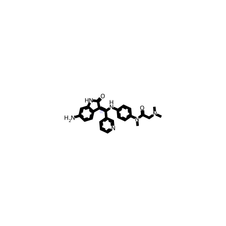 CN(C)CC(=O)N(C)c1ccc(N/C(=C2\C(=O)Nc3cc(N)ccc32)c2cccnc2)cc1